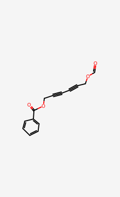 O=COCC#CC#CCOC(=O)c1ccccc1